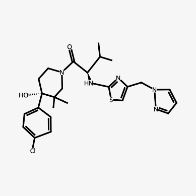 CC(C)[C@@H](Nc1nc(Cn2cccn2)cs1)C(=O)N1CC[C@](O)(c2ccc(Cl)cc2)C(C)(C)C1